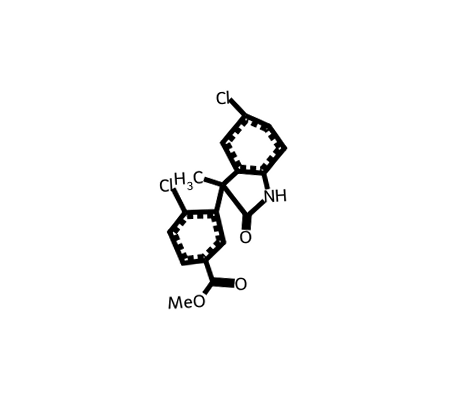 COC(=O)c1ccc(Cl)c(C2(C)C(=O)Nc3ccc(Cl)cc32)c1